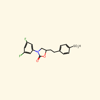 O=C1OC(CCc2ccc(S(=O)(=O)O)cc2)CN1c1cc(F)cc(F)c1